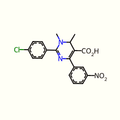 CC1C(C(=O)O)=C(c2cccc([N+](=O)[O-])c2)N=C(c2ccc(Cl)cc2)N1C